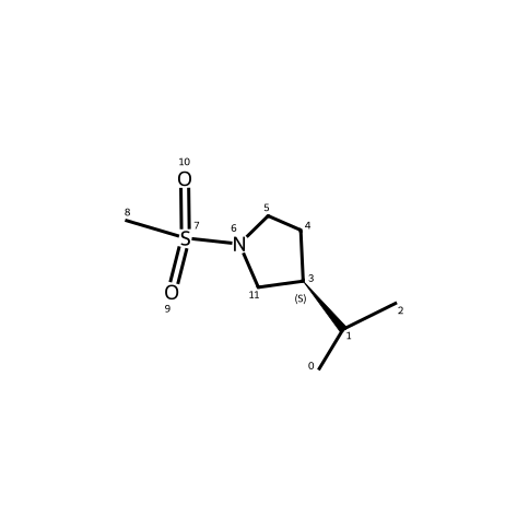 CC(C)[C@@H]1CCN(S(C)(=O)=O)C1